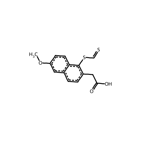 COc1ccc2c(SC=S)c(CC(=O)O)ccc2c1